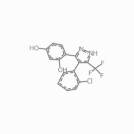 Oc1ccc(-c2n[nH]c(C(F)(F)F)c2-c2ccccc2Cl)c(O)c1